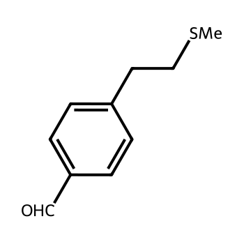 CSCCc1ccc(C=O)cc1